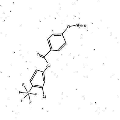 CCCCCOc1ccc(C(=O)Oc2ccc(S(F)(F)(F)(F)F)c(Cl)c2)cc1